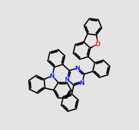 c1ccc(-c2nc(-c3ccccc3-c3cccc4c3oc3ccccc34)nc(-c3ccccc3-n3c4ccccc4c4ccccc43)n2)cc1